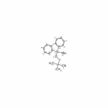 CC(C)(C#N)CO[Si](c1ccccc1)(c1ccccc1)C(C)(C)C